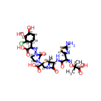 CC(C)(O/N=C(\C(=O)N[C@@H]1C(=O)N2C[C@@](C(=O)O)(N3CCN(/N=C(\C(=O)O)c4ccc(O)c(O)c4Cl)C3=O)S[C@H]12)c1csc(N)n1)C(=O)O